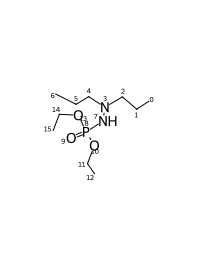 CCCN(CCC)NP(=O)(OCC)OCC